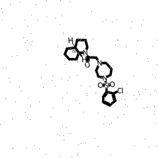 O=C(CN1CCCN(S(=O)(=O)c2ccccc2Cl)CC1)N1CCC[C@@H]2CCCC[C@H]21